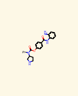 CC(C)N(C(=O)Oc1ccc(C(=O)Nc2ccccc2N)cc1)C1CCNC1